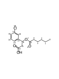 CCCCCC(=O)OC(CC(=O)O)c1cccc(Cl)c1